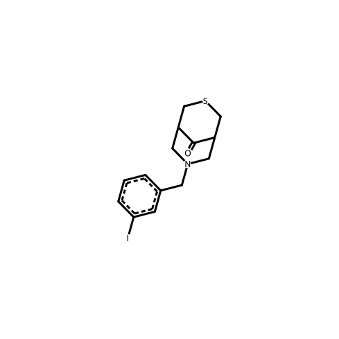 O=C1C2CSCC1CN(Cc1cccc(I)c1)C2